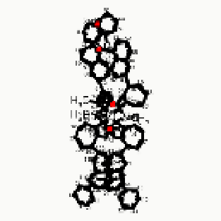 CC1=CC2=C(C=CC=CC2c2ccc3c(Oc4ccccc4)cccc3c2)[C]12[SiH](C)[C]1(C(C)=CC3=C1C=CC=CC3c1ccc3c(Oc4ccccc4)cccc3c1)[Zr]21([Cl])([Cl])[C]2(C(C)=CC3=C2C=CC=CC3c2ccc3c(Oc4ccccc4)cccc3c2)[SiH](C)[C]12C(C)=CC1=C2C=CC=CC1c1ccc2c(Oc3ccccc3)cccc2c1